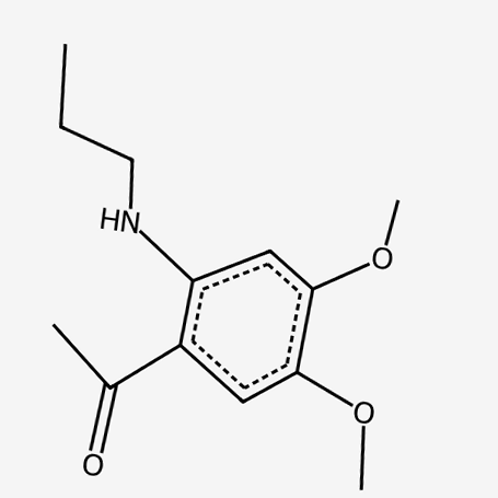 CCCNc1cc(OC)c(OC)cc1C(C)=O